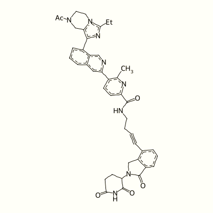 CCc1nc(-c2cccc3cc(-c4ccc(C(=O)NCCC#Cc5cccc6c5CN(C5CCC(=O)NC5=O)C6=O)nc4C)ncc23)c2n1CCN(C(C)=O)C2